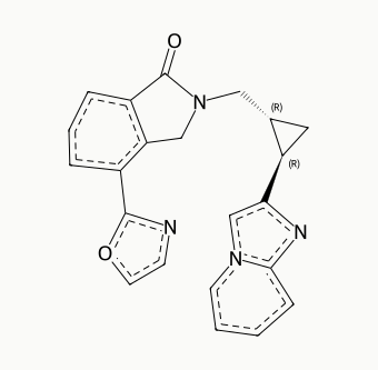 O=C1c2cccc(-c3ncco3)c2CN1C[C@@H]1C[C@H]1c1cn2ccccc2n1